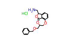 Cl.NCC1OB2OC(COCc3ccccc3)COc3cccc1c32